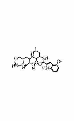 COc1cccc2[nH]c(C(=O)NC(CC(C)C)C(=O)NC(CC3CCNCOC3)C(O)C#N)cc12